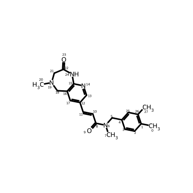 Cc1ccc(CN(C)C(=O)/C=C/c2cnc3c(c2)CN(C)CC(=O)N3)cc1C